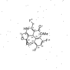 COC(=O)C1=C(CF)NC2=C(C(=O)OC2)C1c1cc(F)cc(F)c1C(F)(F)F